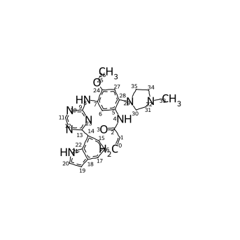 C=CC(=O)Nc1cc(Nc2ncnc(-c3cccc4cc[nH]c34)n2)c(OC)cc1N1CCN(C)CC1